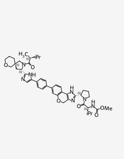 COC(=O)N[C@H](C(=O)N1CCC[C@H]1c1nc2c([nH]1)-c1ccc(-c3ccc(-c4cnc([C@@H]5C[C@@]6(CCCOC6)CN5C(=O)[C@@H](C)C(C)C)[nH]4)cc3)cc1OC2)C(C)C